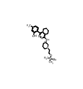 CC(C)(C)[Si](C)(C)OCCN1CCC[C@@H](Nc2nnc(-c3ccc(C(F)(F)F)cc3O)c3c2CCCC3)C1